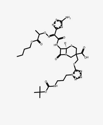 CCCCOC(=O)C(C)ON=C(C(=O)NC1C(=O)N2CC(CSc3nnnn3CCCNC(=O)OC(C)(C)C)(C(=O)O)CS[C@H]12)c1nsc(N)n1